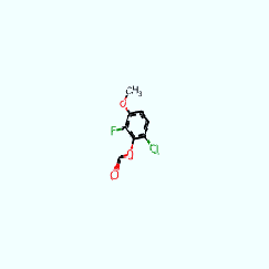 COc1ccc(Cl)c(OC=O)c1F